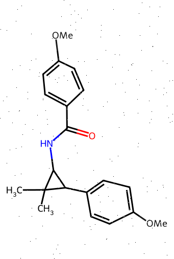 COc1ccc(C(=O)NC2C(c3ccc(OC)cc3)C2(C)C)cc1